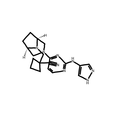 N#CC1(CN2[C@@H]3CC[C@H]2CN(c2ccnc(Nc4cn[nH]c4)n2)C3)CCC1